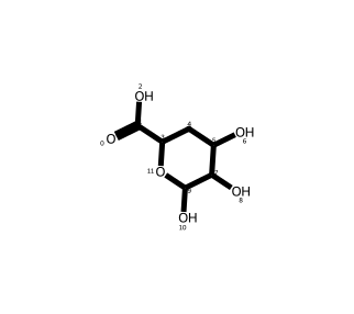 O=C(O)C1CC(O)C(O)C(O)O1